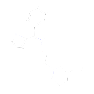 O=C(O)C1CCCN(CCO/N=C(/c2ccccc2)c2ccc[nH]2)C1